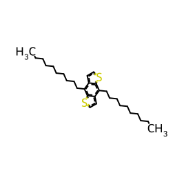 CCCCCCCCCCc1c2ccsc2c(CCCCCCCCCC)c2ccsc12